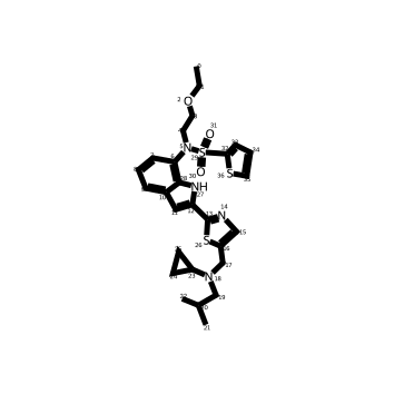 CCOCCN(c1cccc2cc(-c3ncc(CN(CC(C)C)C4CC4)s3)[nH]c12)S(=O)(=O)c1cccs1